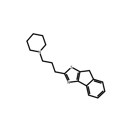 c1ccc2c(c1)Cc1sc(CCCN3CCCCC3)nc1-2